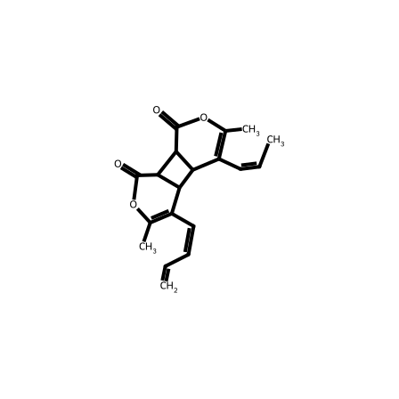 C=C/C=C\C1=C(C)OC(=O)C2C3C(=O)OC(C)=C(/C=C\C)C3C12